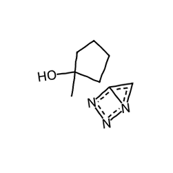 CC1(O)CCCC1.c1c2nnn1-2